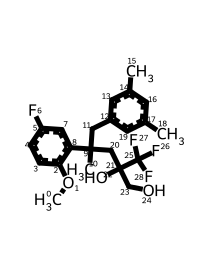 COc1ccc(F)cc1C(C)(Cc1cc(C)cc(C)c1)CC(O)(CO)C(F)(F)F